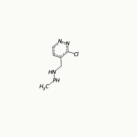 CPNCc1ccnnc1Cl